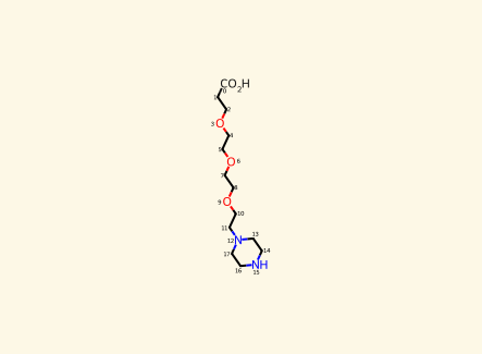 O=C(O)CCOCCOCCOCCN1CCNCC1